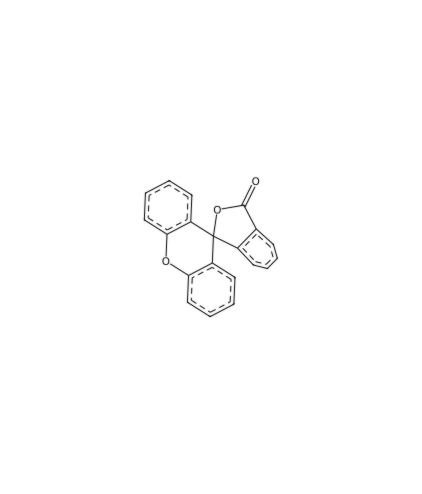 O=C1OC2(c3ccccc3Oc3ccccc32)c2ccccc21